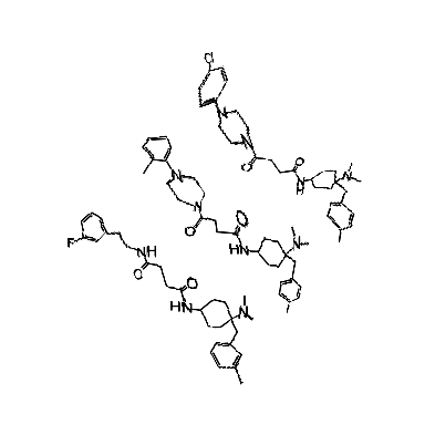 Cc1ccc(CC2(N(C)C)CCC(NC(=O)CCC(=O)N3CCN(c4ccc(Cl)cc4)CC3)CC2)cc1.Cc1ccc(CC2(N(C)C)CCC(NC(=O)CCC(=O)N3CCN(c4ccccc4C)CC3)CC2)cc1.Cc1cccc(CC2(N(C)C)CCC(NC(=O)CCC(=O)NCCc3cccc(F)c3)CC2)c1